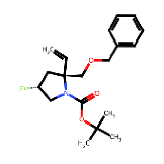 C=C[C@@]1(COCc2ccccc2)C[C@@H](F)CN1C(=O)OC(C)(C)C